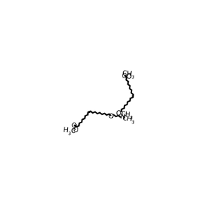 COC(=O)CCCCCCC/C=C\CCCCCCCCOCCC(CN(C)C)OCCCCCCCC/C=C\CCCCCCCC(=O)OC